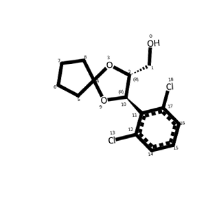 OC[C@H]1OC2(CCCC2)O[C@@H]1c1c(Cl)cccc1Cl